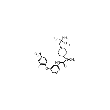 CN(C(=O)Nc1cc(Oc2ccc([N+](=O)[O-])cc2F)ccn1)C1CCN(CC(C)(C)N)CC1